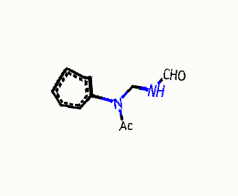 CC(=O)N(CNC=O)c1ccccc1